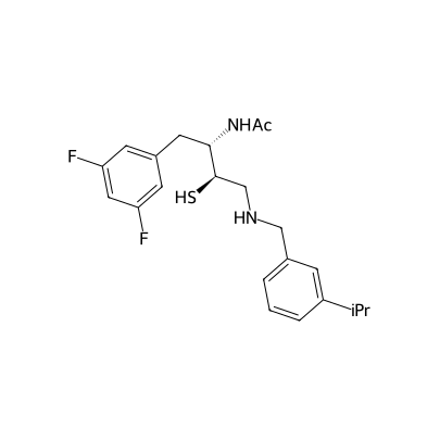 CC(=O)N[C@@H](Cc1cc(F)cc(F)c1)[C@H](S)CNCc1cccc(C(C)C)c1